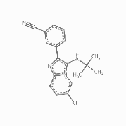 CC(C)(C)Nc1c(-c2cccc(C#N)c2)nc2ccc(Cl)cn12